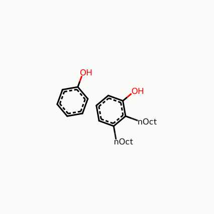 CCCCCCCCc1cccc(O)c1CCCCCCCC.Oc1ccccc1